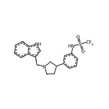 O=S(=O)(Nc1cccc(C2CCN(Cc3c[nH]c4ccccc34)C2)c1)C(F)(F)F